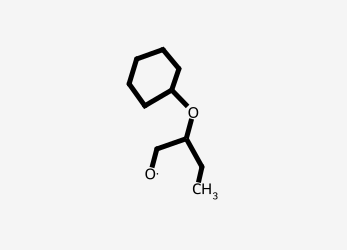 CCC(C[O])OC1CCCCC1